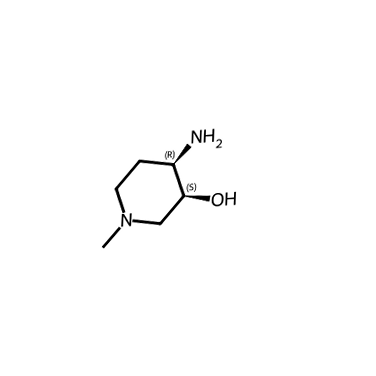 CN1CC[C@@H](N)[C@@H](O)C1